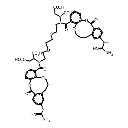 N=C(N)Nc1ccc2c(c1)CCCOc1c(cccc1C(=O)N(CCOCCOCCN(C(=O)c1cccc3c1OCCCc1cc(NC(=N)N)ccc1C(=O)O3)[C@@H](CC(=O)O)C(=O)O)[C@@H](CC(=O)O)C(=O)O)OC2=O